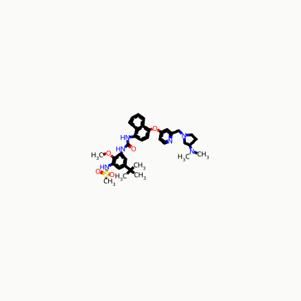 COc1c(NC(=O)Nc2ccc(Oc3ccnc(CN4CCC(N(C)C)C4)c3)c3ccccc23)cc(C(C)(C)C)cc1NS(C)(=O)=O